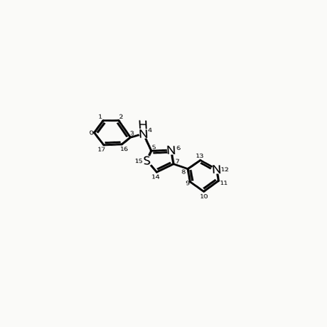 c1ccc(Nc2nc(-c3cccnc3)cs2)cc1